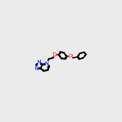 c1ccc(COc2ccc(OCCn3cccc4ncnc3-4)cc2)cc1